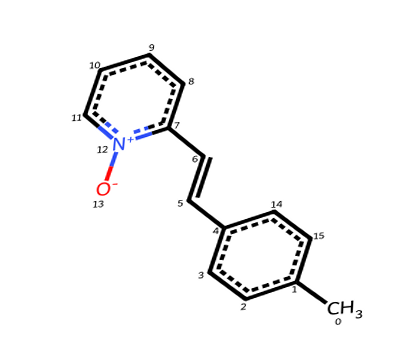 Cc1ccc(C=Cc2cccc[n+]2[O-])cc1